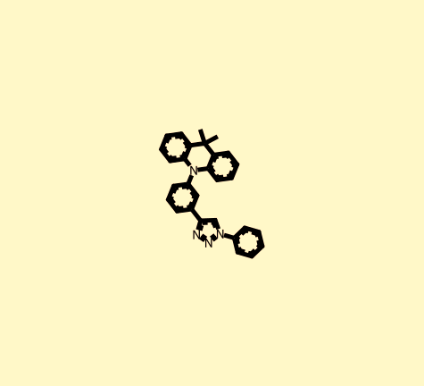 CC1(C)c2ccccc2N(c2cccc(-c3cn(-c4ccccc4)nn3)c2)c2ccccc21